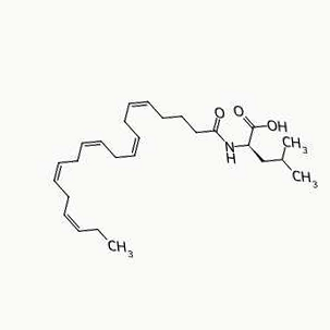 CC/C=C\C/C=C\C/C=C\C/C=C\C/C=C\CCCC(=O)N[C@H](CC(C)C)C(=O)O